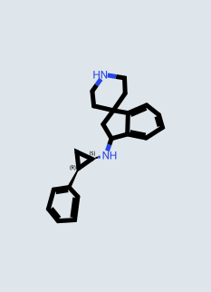 c1ccc([C@H]2C[C@@H]2NC2CC3(CCNCC3)c3ccccc32)cc1